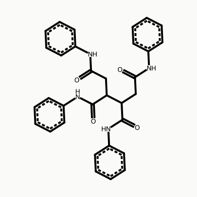 O=C(CC(C(=O)Nc1ccccc1)C(CC(=O)Nc1ccccc1)C(=O)Nc1ccccc1)Nc1ccccc1